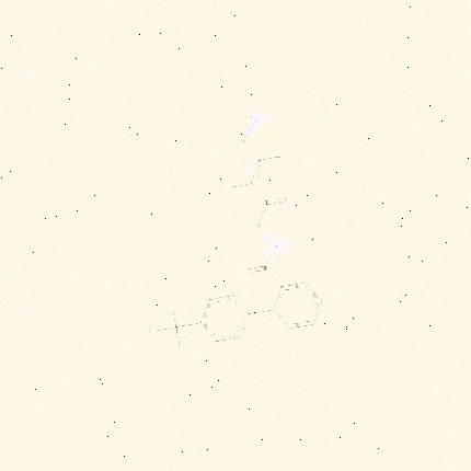 C/C(C=N)=C(/S)C(=O)CNC(=O)c1ccccc1-c1ccc(C(F)(F)F)cc1